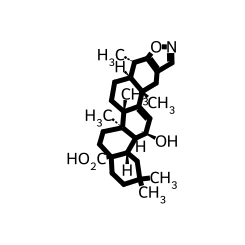 C[C@@H]1c2oncc2C[C@]2(C)C3=C[C@@H](O)[C@@H]4[C@@H]5CC(C)(C)CC[C@]5(C(=O)O)CC[C@@]4(C)[C@]3(C)CC[C@@H]12